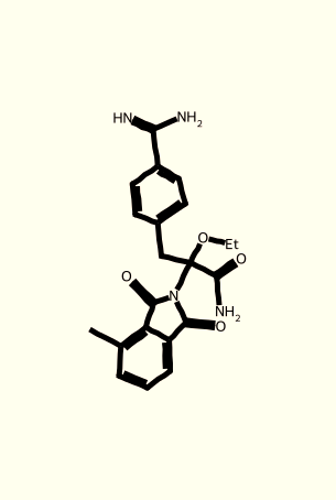 CCOC(Cc1ccc(C(=N)N)cc1)(C(N)=O)N1C(=O)c2cccc(C)c2C1=O